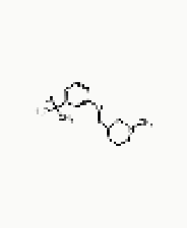 CCC(C)(C)c1cccc(OCC2CCCN(C)C2)c1